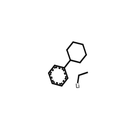 [Li][CH2]C.c1ccc(C2CCCCC2)cc1